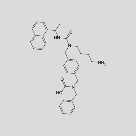 CC(NC(=O)N(CCCCN)Cc1ccc(CN(Cc2ccccc2)C(=O)O)cc1)c1cccc2ccccc12